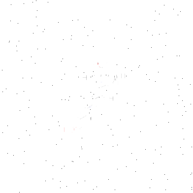 CC(/C=C/C1C(C)C(=O)CCC1(C)C)=C\C=C\C(C)=C\CO